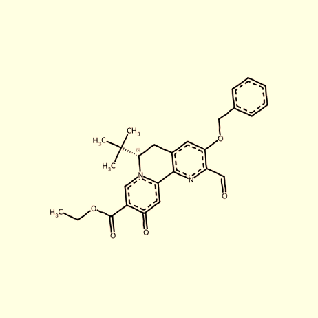 CCOC(=O)c1cn2c(cc1=O)-c1nc(C=O)c(OCc3ccccc3)cc1C[C@H]2C(C)(C)C